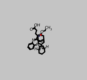 CCO/N=C(\CCC(=O)O)c1nc2ccccc2n([C@@H]2C[C@@H]3CCC[C@H]2N3C2CC3CCCC(C3)C2)c1=O